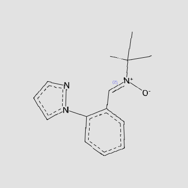 CC(C)(C)/[N+]([O-])=C/c1ccccc1-n1cccn1